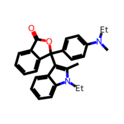 CCN(C)c1ccc(C2(c3c(C)n(CC)c4ccccc34)OC(=O)c3ccccc32)cc1